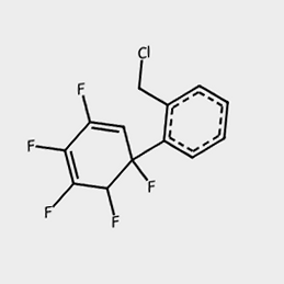 FC1=CC(F)(c2ccccc2CCl)C(F)C(F)=C1F